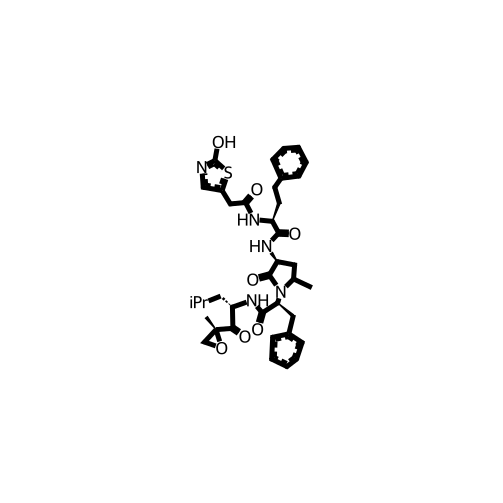 CC(C)C[C@H](NC(=O)[C@H](Cc1ccccc1)N1C(=O)[C@@H](NC(=O)[C@H](CCc2ccccc2)NC(=O)Cc2cnc(O)s2)CC1C)C(=O)[C@@]1(C)CO1